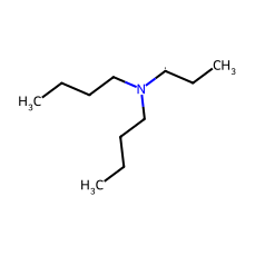 CC[CH]N(CCCC)CCCC